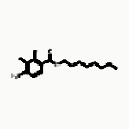 CCCCCCCCOC(=O)c1ccc(N)c(C)c1C